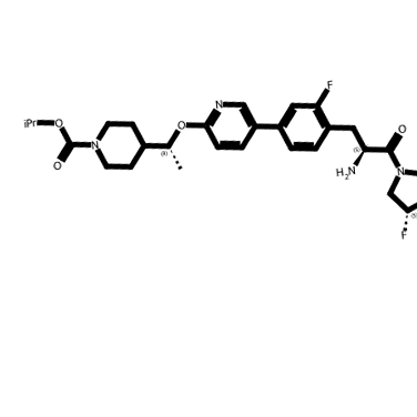 CC(C)OC(=O)N1CCC([C@@H](C)Oc2ccc(-c3ccc(C[C@H](N)C(=O)N4CC[C@H](F)C4)c(F)c3)cn2)CC1